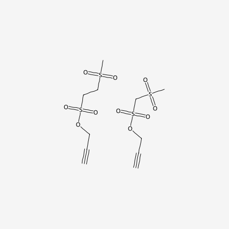 C#CCOS(=O)(=O)CCS(C)(=O)=O.C#CCOS(=O)(=O)CS(C)(=O)=O